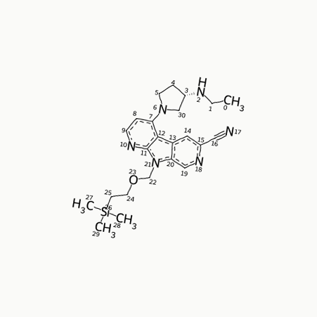 CCN[C@H]1CCN(c2ccnc3c2c2cc(C#N)ncc2n3COCC[Si](C)(C)C)C1